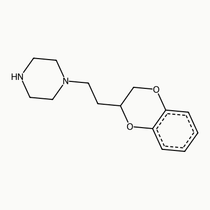 c1ccc2c(c1)OCC(CCN1CCNCC1)O2